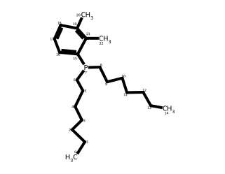 CCCCCCCP(CCCCCCC)c1cccc(C)c1C